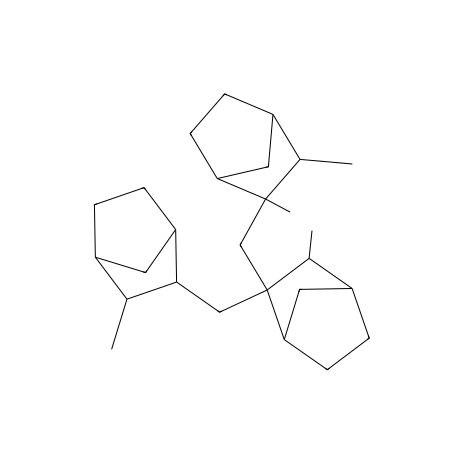 CC1C2CCC(C2)C1CC1(CC2(C)C3CCC(C3)C2C)C2CCC(C2)C1C